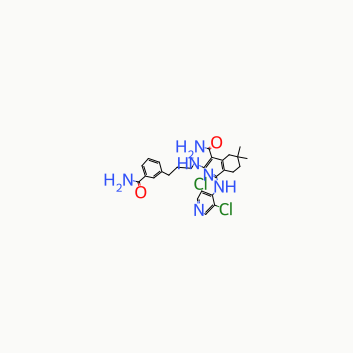 CC1(C)CCc2c(Nc3c(Cl)cncc3Cl)nc(NCCCc3cccc(C(N)=O)c3)c(C(N)=O)c2C1